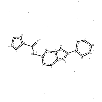 O=C(Nc1ccc2sc(-c3ccccc3)nc2c1)c1cscn1